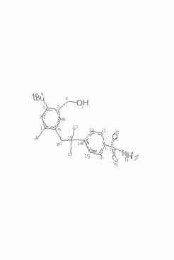 Cc1cc(C(C)(C)C)c(CO)cc1CC(C)(C)c1ccc(S(N)(=O)=O)cc1